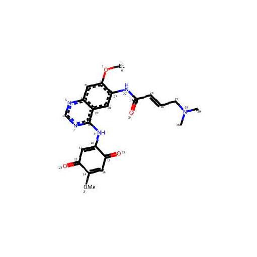 CCOc1cc2ncnc(NC3=CC(=O)C(OC)=CC3=O)c2cc1NC(=O)C=CCN(C)C